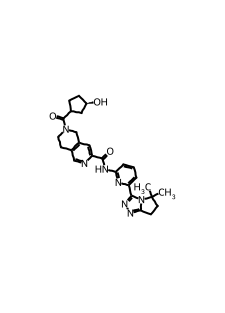 CC1(C)CCc2nnc(-c3cccc(NC(=O)c4cc5c(cn4)CCN(C(=O)C4CC[C@@H](O)C4)C5)n3)n21